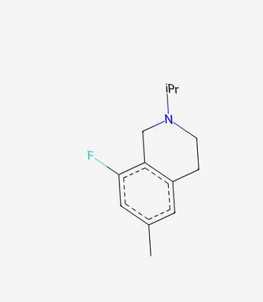 Cc1cc(F)c2c(c1)CCN(C(C)C)C2